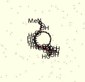 CNc1ccc(C(=O)CC(O)CCC(C)C2OC(=O)CC(O)CC(O)CC(O)CC(O)CC(O)CC(O)CC3(O)CC(O)C(C(=O)O)C(CC(OC4OC(C)C(OC5OC(CO)C(O)C(O)C5O)C(N)C4O)/C=C/C=C/C=C/C=C/C=C/C=C/C=C/C2C)O3)cc1